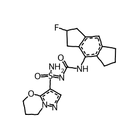 NS(=O)(=NC(=O)Nc1c2c(cc3c1CC(F)C3)CCC2)c1cnn2c1OCCC2